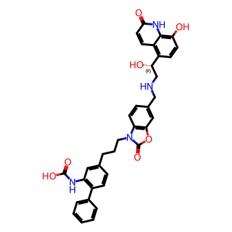 O=C(O)Nc1cc(CCCn2c(=O)oc3cc(CNC[C@H](O)c4ccc(O)c5[nH]c(=O)ccc45)ccc32)ccc1-c1ccccc1